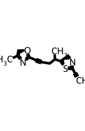 C#Cc1ncc(C(C)CC#Cc2nc(C)co2)s1